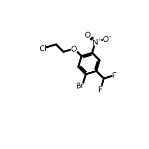 O=[N+]([O-])c1cc(C(F)F)c(Br)cc1OCCCl